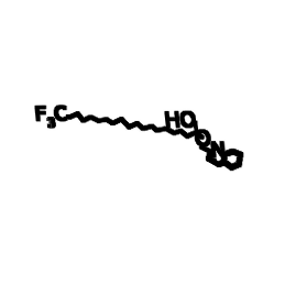 OC[C@H](CCCCCCCCCCCCCCCCCC(F)(F)F)OCc1ccc2ccccc2n1